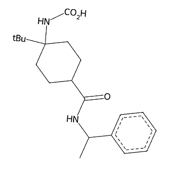 CC(NC(=O)C1CCC(NC(=O)O)(C(C)(C)C)CC1)c1ccccc1